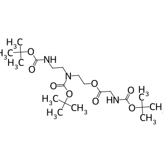 CC(C)(C)OC(=O)NCCN(CCOC(=O)CNC(=O)OC(C)(C)C)C(=O)OC(C)(C)C